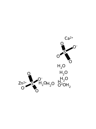 O.O.O.O.O.O.O.O=S(=O)([O-])[O-].O=S(=O)([O-])[O-].[Ca+2].[Zn+2]